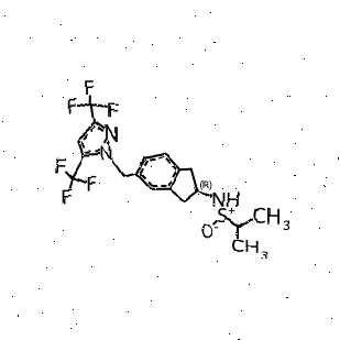 CC(C)[S+]([O-])N[C@@H]1Cc2ccc(Cn3nc(C(F)(F)F)cc3C(F)(F)F)cc2C1